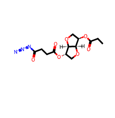 CCC(=O)O[C@@H]1CO[C@H]2[C@@H]1OC[C@@H]2OC(=O)CCC(=O)N=[N+]=[N-]